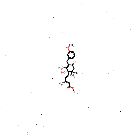 COC(=O)C=C(C)C=C[C@@]1(O)C(C)=C(Cc2cccc(OC)c2)C(=O)CC1(C)C